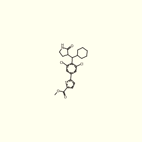 COC(=O)c1ccc(-c2cc(Cl)c(C(C3CCCCC3)C3CCNC3=O)c(Cl)c2)s1